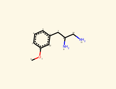 COc1cccc(CC(N)CN)c1